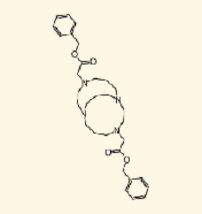 O=C(CN1CCCN2CCCN(CCCN(CC(=O)OCc3ccccc3)CC2)CC1)OCc1ccccc1